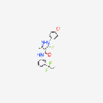 CCC(F)(F)c1cccc(NC(=O)c2c(C)nn(-c3ccc(OC)cc3)c2F)c1